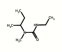 CCNC(=O)N(C)C(C)CC